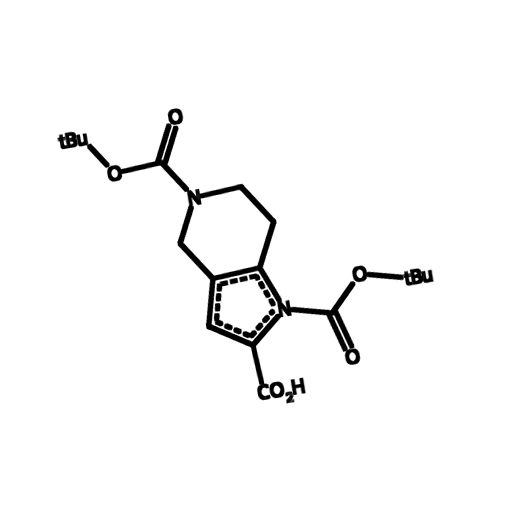 CC(C)(C)OC(=O)N1CCc2c(cc(C(=O)O)n2C(=O)OC(C)(C)C)C1